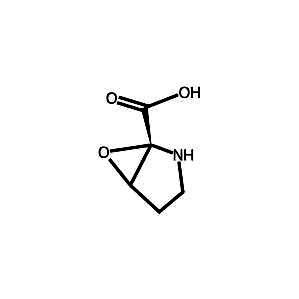 O=C(O)[C@@]12NCCC1O2